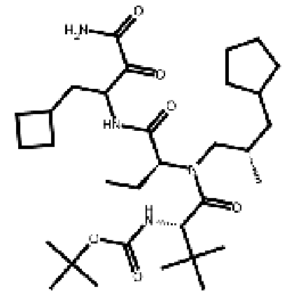 CC[C@@H](C(=O)NC(CC1CCC1)C(=O)C(N)=O)N(C[C@@H](C)CC1CCCC1)C(=O)[C@@H](NC(=O)OC(C)(C)C)C(C)(C)C